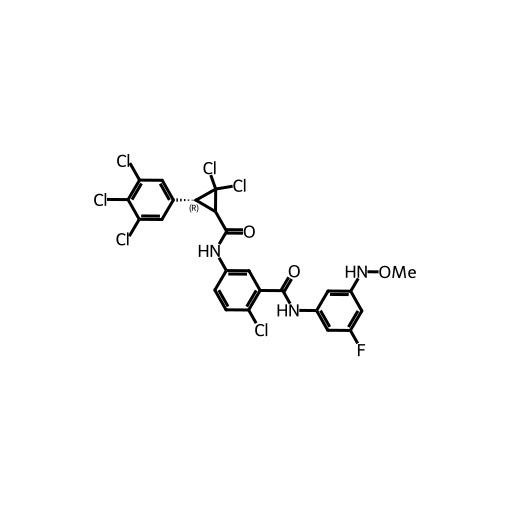 CONc1cc(F)cc(NC(=O)c2cc(NC(=O)C3[C@H](c4cc(Cl)c(Cl)c(Cl)c4)C3(Cl)Cl)ccc2Cl)c1